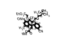 CCOC(=O)COC(c1c(OC)cc(C)c2c1ccn2C(=O)OC(C)(C)C)(c1nc2cc(C#N)ccc2n1COCC[Si](C)(C)C)C(F)(F)F